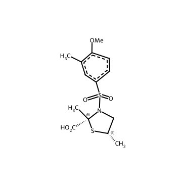 COc1ccc(S(=O)(=O)N2C[C@H](C)S[C@]2(C)C(=O)O)cc1C